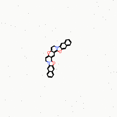 C1=C2OC3=CCN4C(=C3C=C2c2oc3cc5ccccc5cc3[n+]2C1)Oc1cc2ccccc2cc14